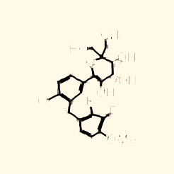 COc1ccc(Cc2cc(C3=C(O)[C@@H](O)[C@H](O)C(CO)(CO)O3)ccc2Cl)c(F)c1F